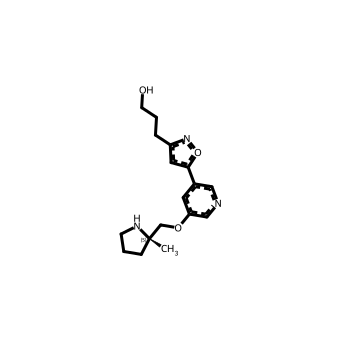 C[C@@]1(COc2cncc(-c3cc(CCCO)no3)c2)CCCN1